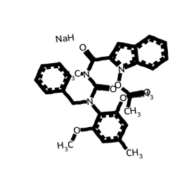 COc1cc(C)cc(OC)c1N(Cc1ccccc1)C(=O)N(C)C(=O)c1cc2ccccc2n1OC(C)=O.[NaH]